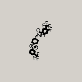 O=C(NC[C@H]1CC[C@H](S(=O)(=O)c2cccc(C(F)(F)F)c2)CC1)c1ccc(F)c(C(F)(F)F)c1